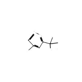 CCCCCCC(C)(CC)c1cc(Br)cnn1